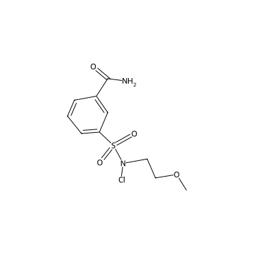 COCCN(Cl)S(=O)(=O)c1cccc(C(N)=O)c1